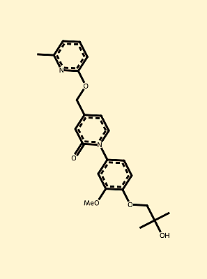 COc1cc(-n2ccc(COc3cccc(C)n3)cc2=O)ccc1OCC(C)(C)O